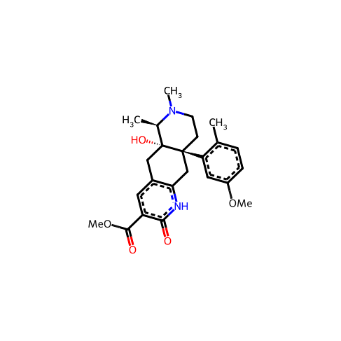 COC(=O)c1cc2c([nH]c1=O)C[C@@]1(c3cc(OC)ccc3C)CCN(C)[C@H](C)[C@]1(O)C2